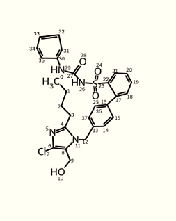 CCCCc1nc(Cl)c(CO)n1Cc1ccc(-c2ccccc2S(=O)(=O)NC(=O)Nc2ccccc2)cc1